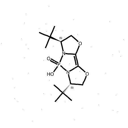 CC(C)(C)[C@H]1COC2=C3OC[C@H](C(C)(C)C)N3P(=O)(O)N21